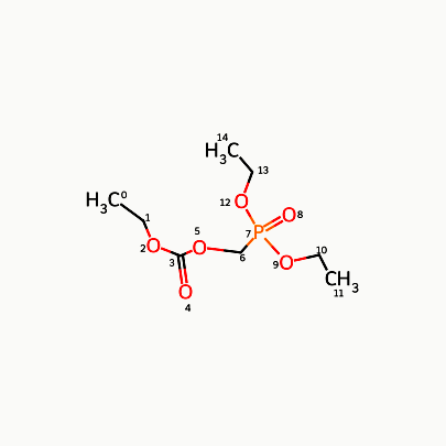 CCOC(=O)OCP(=O)(OCC)OCC